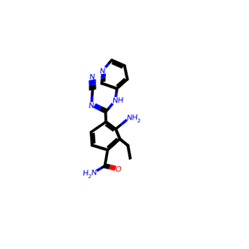 CCc1c(C(N)=O)ccc(C(=NC#N)Nc2cccnc2)c1N